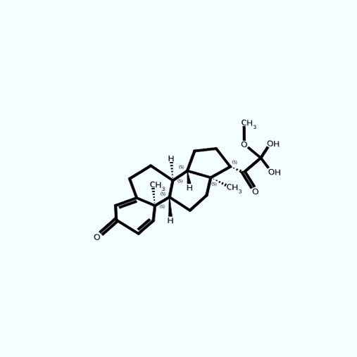 COC(O)(O)C(=O)[C@H]1CC[C@H]2[C@@H]3CCC4=CC(=O)C=C[C@]4(C)[C@H]3CC[C@]12C